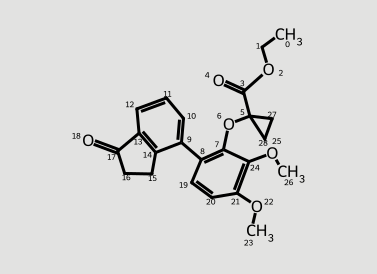 CCOC(=O)C1(Oc2c(-c3cccc4c3CCC4=O)ccc(OC)c2OC)CC1